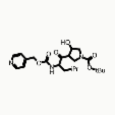 CC(C)CC(NC(=O)OCc1ccncc1)C(=O)C1CN(C(=O)OC(C)(C)C)CC1O